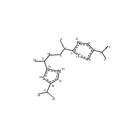 CC(C)c1ccc(C(C)CCC(C)c2ncc(C(C)C)s2)nc1